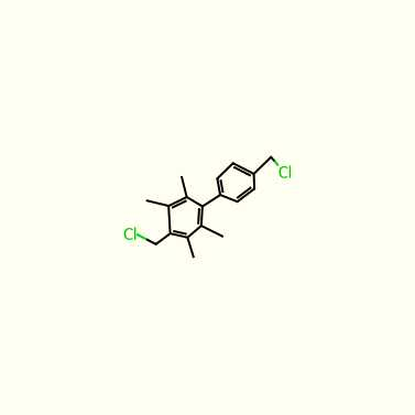 Cc1c(C)c(-c2ccc(CCl)cc2)c(C)c(C)c1CCl